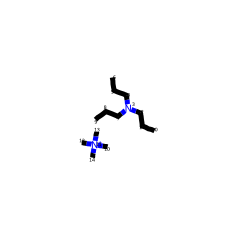 CCCN(CCC)CCC.C[N+](C)(C)C